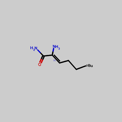 CCCCCC/C=C(\N)C(N)=O